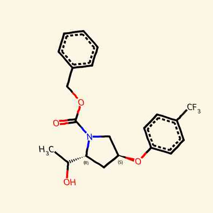 CC(O)[C@H]1C[C@H](Oc2ccc(C(F)(F)F)cc2)CN1C(=O)OCc1ccccc1